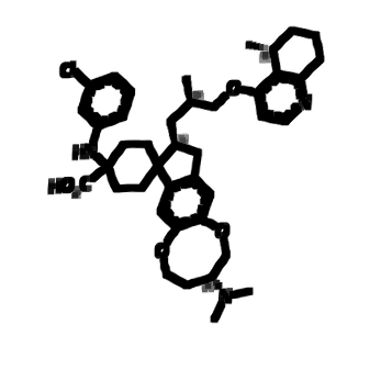 C[C@@H](COc1ccnc2c1[C@H](C)CCC2)C[C@H]1Cc2cc3c(cc2C12CCC(Nc1cccc(Cl)c1)(C(=O)O)CC2)OCC[C@@H](N(C)C)CO3